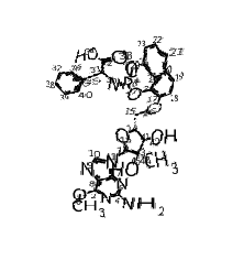 COc1nc(N)nc2c1ncn2C1O[C@H](COc2ccc3ccccc3c2O/[P+]([O-])=N/C(C(=O)O)c2ccccc2)[C@@H](O)[C@@]1(C)O